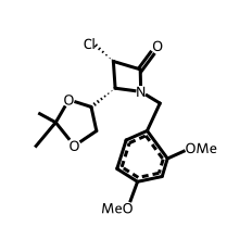 COc1ccc(CN2C(=O)[C@@H](Cl)[C@H]2C2COC(C)(C)O2)c(OC)c1